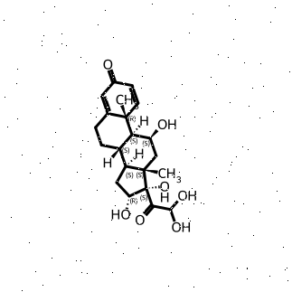 C[C@]12C=CC(=O)C=C1CC[C@@H]1[C@@H]2[C@@H](O)C[C@@]2(C)[C@H]1C[C@@H](O)[C@]2(O)C(=O)C(O)O